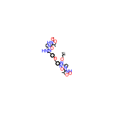 COC(=O)N[C@H](C(=O)N1CCC[C@H]1c1nc(-c2ccc(OCc3ccc4nc([C@@H]5CCCN5C(=O)[C@@H](NC(=O)OC)C(C)C)n(COCC[Si](C)(C)C)c4c3)cc2)c[nH]1)C(C)C